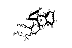 N#CC1C[C@@]2(CCN1C(=O)O)Oc1ccccc1-n1cccc12